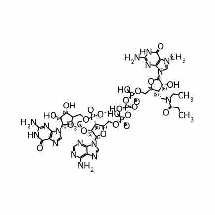 CCC(=O)N(CC)C[C@H]1[C@@H](O)[C@H](n2c[n+](C)c3c(=O)[nH]c(N)nc32)O[C@@H]1COP(=O)(O)OP(=O)(O)OP(=O)(O)OC[C@H]1O[C@@H](n2cnc3c(N)ncnc32)[C@H](OC)[C@@H]1P(=O)([O-])OCC1O[C@@H](n2cnc3c(=O)[nH]c(N)nc32)[C@H](O)[C@@H]1O